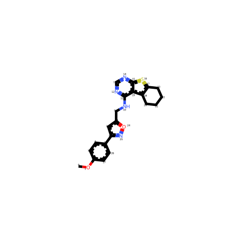 COc1ccc(-c2cc(CNc3ncnc4sc5c(c34)CCCC5)on2)cc1